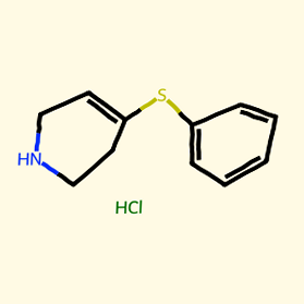 C1=C(Sc2ccccc2)CCNC1.Cl